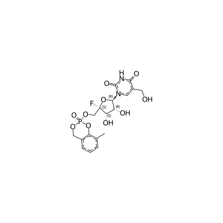 Cc1cccc2c1OP(=O)(OC[C@@]1(F)O[C@@H](n3cc(CO)c(=O)[nH]c3=O)[C@H](O)[C@@H]1O)OC2